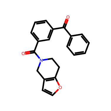 O=C(c1ccccc1)c1cccc(C(=O)N2CCc3occc3C2)c1